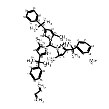 C=CC=C.Cc1cc(C(C)(C)c2ccccc2)nn1C(n1nc(C(C)(C)c2ccccc2)cc1C)n1nc(C(C)(C)c2ccccc2)cc1C.[Mn]